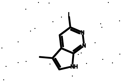 Cc1c[nH]c2nnc(I)cc12